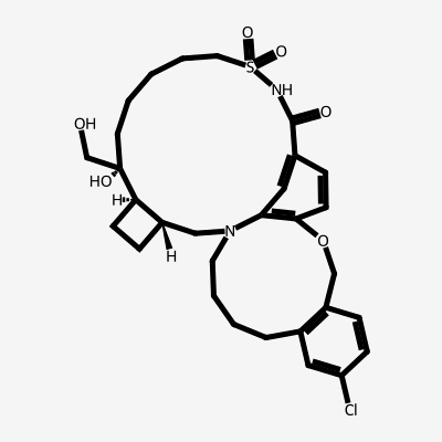 O=C1NS(=O)(=O)CCCCC[C@](O)(CO)[C@@H]2CC[C@H]2CN2CCCCc3cc(Cl)ccc3COc3ccc1cc32